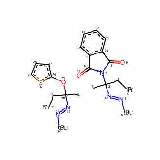 CC(C)CC(C)(N=NC(C)(C)C)N1C(=O)c2ccccc2C1=O.CC(C)CC(C)(N=NC(C)(C)C)Oc1cccs1